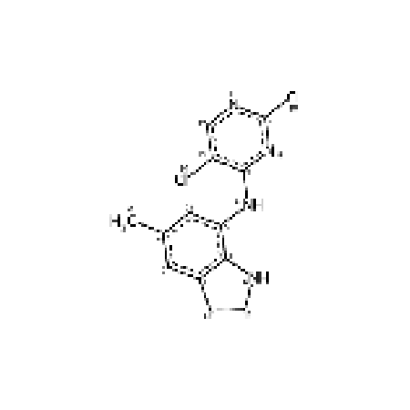 Cc1cc2c(c(Nc3nc(Cl)ncc3Cl)c1)NCC2